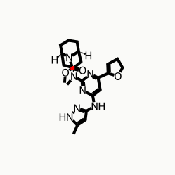 COC(=O)N1[C@@H]2CCC[C@H]1C[C@H](N(C)c1nc(Nc3cc(C)[nH]n3)cc(C3=CCCO3)n1)C2